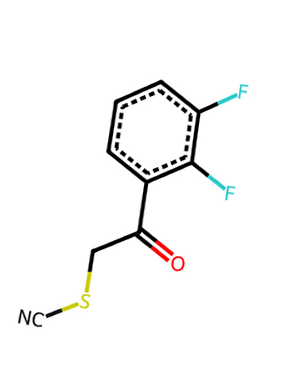 N#CSCC(=O)c1cccc(F)c1F